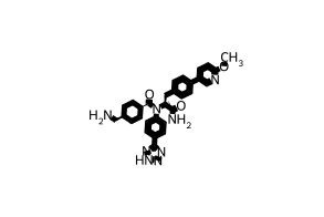 COc1ccc(-c2ccc(C[C@@H](C(N)=O)N(c3ccc(-c4nn[nH]n4)cc3)C(=O)[C@H]3CC[C@H](CN)CC3)cc2)cn1